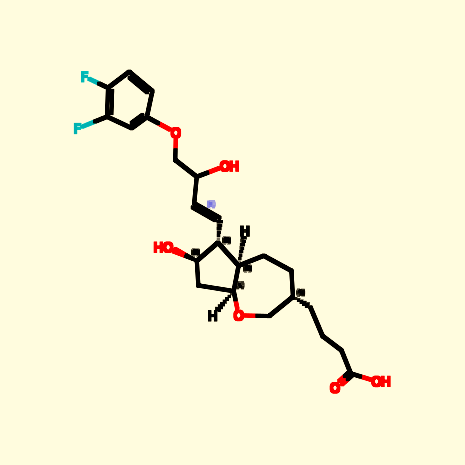 O=C(O)CCC[C@H]1CC[C@@H]2[C@@H](/C=C/C(O)COc3ccc(F)c(F)c3)[C@H](O)C[C@@H]2OC1